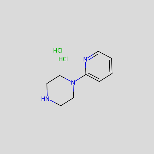 Cl.Cl.c1ccc(N2CCNCC2)nc1